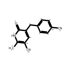 Cc1[nH]c(=O)c(Cc2ccc(C#N)cc2)cc1C#N